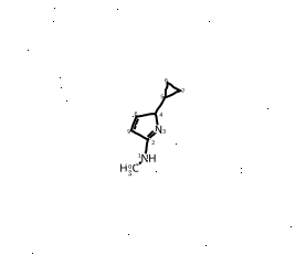 CNC1=NC(C2CC2)C=C1